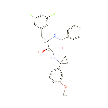 CC(C)(C)Oc1cccc(C2(NC[C@@H](O)[C@H](Cc3cc(F)cc(F)c3)NC(=O)c3ccccc3)CC2)c1